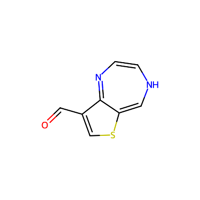 O=Cc1csc2c1=NC=CNC=2